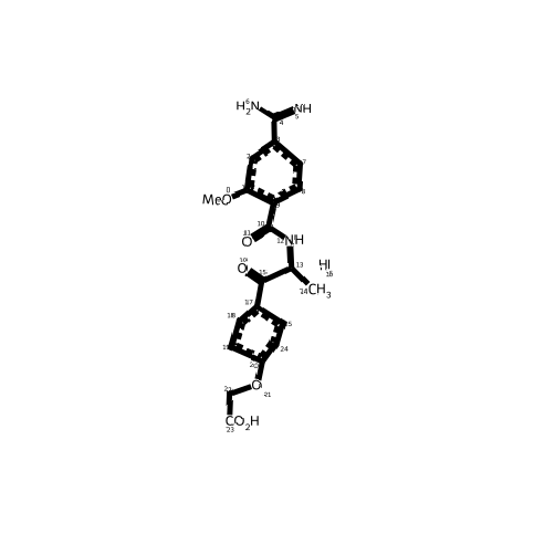 COc1cc(C(=N)N)ccc1C(=O)NC(C)C(=O)c1ccc(OCC(=O)O)cc1.I